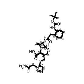 CC(C)(C)OC(=O)Nc1ccccc1CC(=O)NC1C(=O)N2C(C(=O)O)=C(CSc3nnnn3CC(N)=O)CS[C@H]12